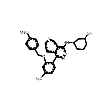 COc1ccc(COc2cc(C(F)(F)F)ccc2-c2nnc(N[C@@H]3CCC[C@H](O)C3)c3cnccc23)cc1